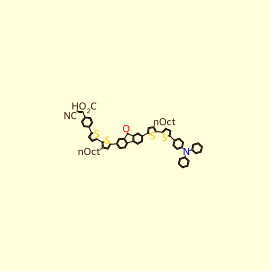 CCCCCCCCc1cc(-c2ccc3c(c2)C(=O)c2cc(-c4cc(CCCCCCCC)c(-c5ccc(-c6ccc(N(c7ccccc7)c7ccccc7)cc6)s5)s4)ccc2-3)sc1-c1ccc(-c2ccc(/C=C(\C#N)C(=O)O)cc2)s1